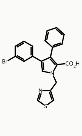 O=C(O)c1c(-c2ccccc2)c(-c2cccc(Br)c2)cn1Cc1cscn1